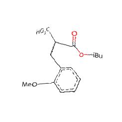 CCC(C)OC(=O)C(Cc1ccccc1OC)C(=O)O